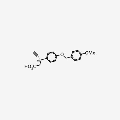 C#C[C@@H](CC(=O)O)c1ccc(OCc2ccc(OC)cc2)cc1